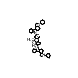 CC1(C)c2cc(-n3c4ccccc4c4c5ccn(-c6ccccc6)c5ccc43)ccc2-c2ccc(-n3c4ccccc4c4c5ccn(-c6ccccc6)c5ccc43)cc21